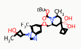 C[C@H]1CC(B(O)O)(C23CC(C2)C3)C[C@@H](COc2cc(C(F)(F)F)c3c(c2)ncn3C2CC(C)(O)C2)N1C(=O)OC(C)(C)C